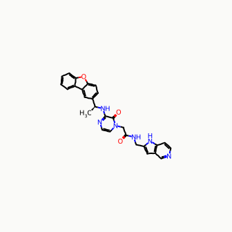 C[C@H](Nc1nccn(CC(=O)NCc2cc3cnccc3[nH]2)c1=O)c1ccc2oc3ccccc3c2c1